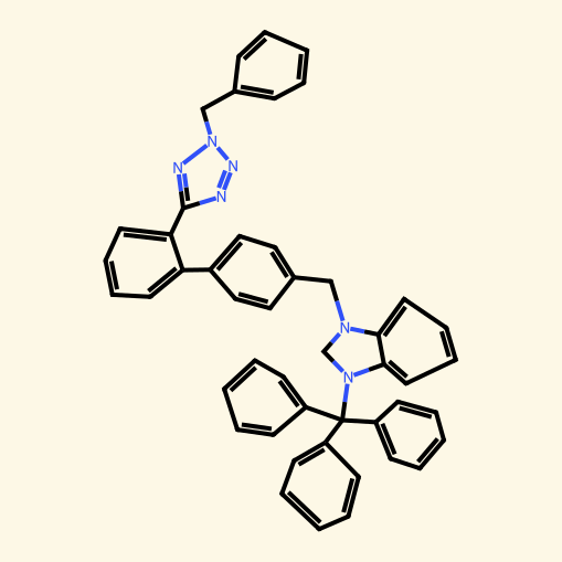 c1ccc(Cn2nnc(-c3ccccc3-c3ccc(CN4CN(C(c5ccccc5)(c5ccccc5)c5ccccc5)c5ccccc54)cc3)n2)cc1